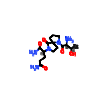 CC[C@@H](O)[C@H](N)C(=O)N1CCCC12CCN([C@@H](CCC(N)=O)C(N)=O)C2=O